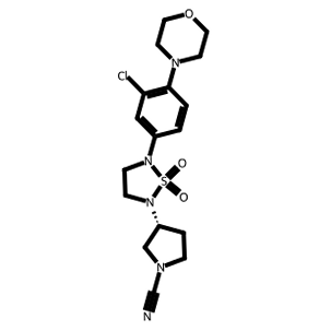 N#CN1CC[C@@H](N2CCN(c3ccc(N4CCOCC4)c(Cl)c3)S2(=O)=O)C1